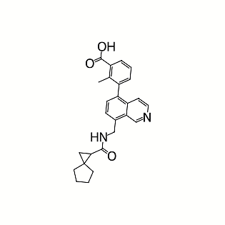 Cc1c(C(=O)O)cccc1-c1ccc(CNC(=O)C2CC23CCCC3)c2cnccc12